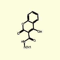 CCCCCCCCNC(=O)c1c(O)c2ccccc2oc1=O